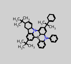 CC(C)(C1=CC2C3B(c4ccccc4N2c2ccccc2)c2cc(C(C)(C)C)cc4c2N(C3=C1)C1C=CC(C(C)(C)C)CC41)C1=CC=CCC1